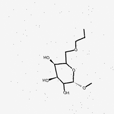 CCCOCC1O[C@H](OC)C(O)[C@@H](O)[C@H]1O